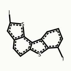 Ic1cc2ccc3sc4c(I)cccc4c3c2s1